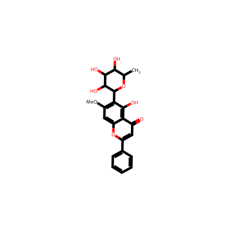 COc1cc2oc(-c3ccccc3)cc(=O)c2c(O)c1C1OC(C)C(O)C(O)C1O